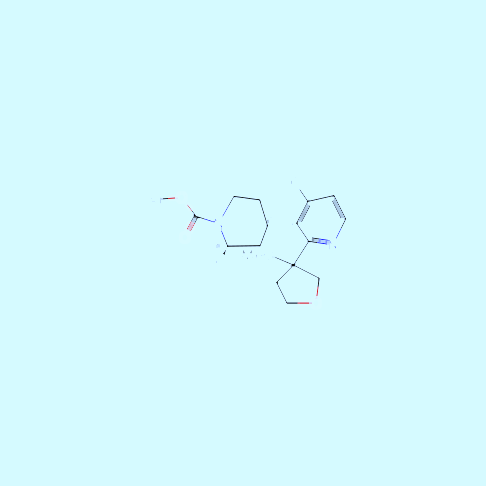 COC1(c2nccc(C)c2[C@H]2CCN(C(=O)OC(C)(C)C)[C@H](C)C2)CCOC1